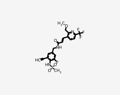 C#Cc1cc(CNC(=O)/C=C/c2ccc(C(F)(F)F)nc2COC)cc(F)c1NS(C)(=O)=O